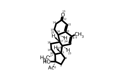 CC(=O)[C@@]1(O)CC[C@H]2[C@@H]3C=C(C)C4=CC(=O)CC[C@@H]4[C@H]3CC[C@@]21C